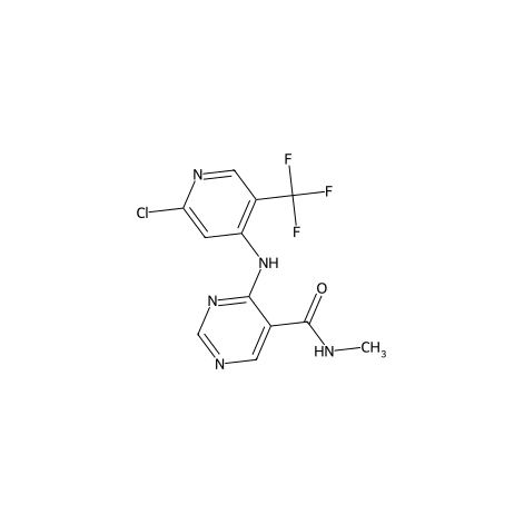 CNC(=O)c1cncnc1Nc1cc(Cl)ncc1C(F)(F)F